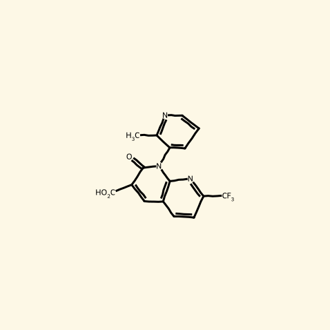 Cc1ncccc1-n1c(=O)c(C(=O)O)cc2ccc(C(F)(F)F)nc21